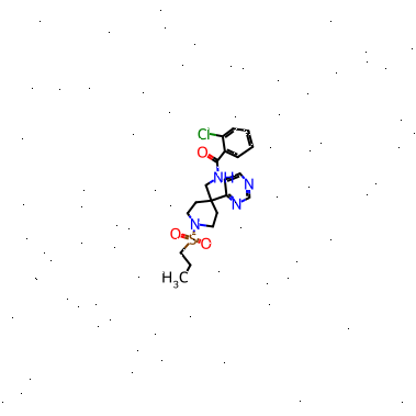 CCCS(=O)(=O)N1CCC(CNC(=O)c2ccccc2Cl)(c2ccncn2)CC1